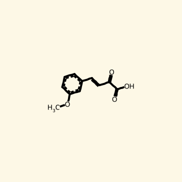 COc1cccc(/C=C/C(=O)C(=O)O)c1